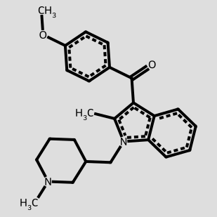 COc1ccc(C(=O)c2c(C)n(CC3CCCN(C)C3)c3ccccc23)cc1